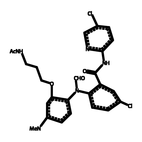 CNc1ccc(N(C=O)c2ccc(Cl)cc2C(=O)Nc2ccc(Cl)cn2)c(OCCCNC(C)=O)c1